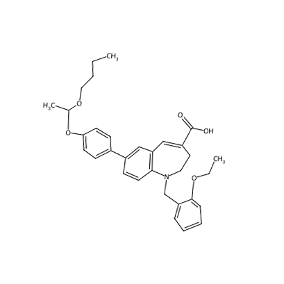 CCCCOC(C)Oc1ccc(-c2ccc3c(c2)C=C(C(=O)O)CCN3Cc2ccccc2OCC)cc1